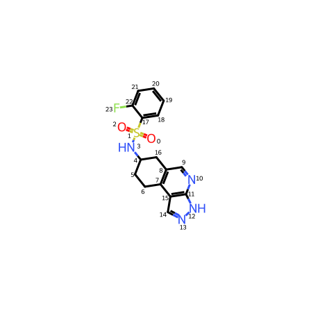 O=S(=O)(NC1CCc2c(cnc3[nH]ncc23)C1)c1ccccc1F